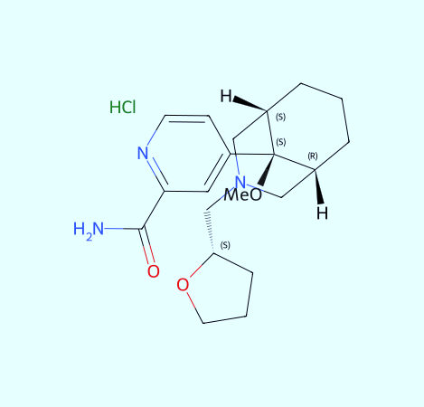 CO[C@]1(c2ccnc(C(N)=O)c2)[C@@H]2CCC[C@H]1CN(C[C@@H]1CCCO1)C2.Cl